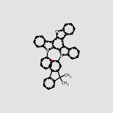 CC1(C)c2ccccc2-c2ccc(-n3c4ccccc4c4c5c6ccccc6oc5c5c6ccccc6n(-c6ccccc6)c5c43)cc21